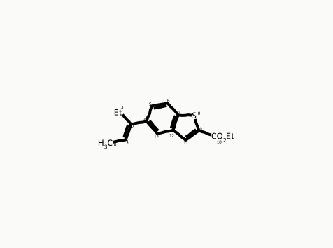 CC=C(CC)c1ccc2sc(C(=O)OCC)cc2c1